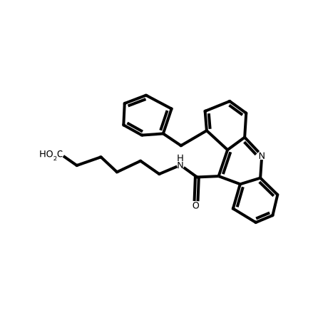 O=C(O)CCCCCNC(=O)c1c2ccccc2nc2cccc(Cc3ccccc3)c12